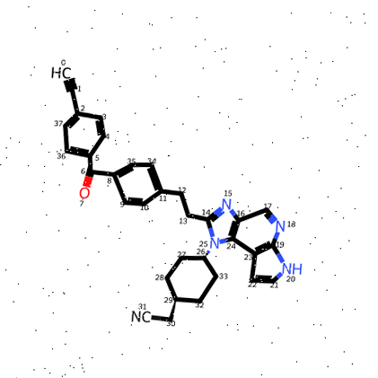 C#Cc1ccc(C(=O)c2ccc(CCc3nc4cnc5[nH]ccc5c4n3[C@H]3CC[C@H](CC#N)CC3)cc2)cc1